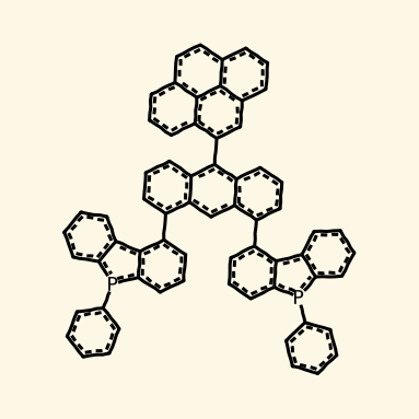 c1ccc(-p2c3ccccc3c3c(-c4cccc5c(-c6cc7cccc8ccc9cccc6c9c87)c6cccc(-c7cccc8c7c7ccccc7p8-c7ccccc7)c6cc45)cccc32)cc1